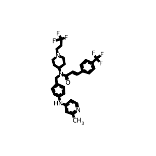 Cc1cc(Nc2ccc(CN(C(=O)/C=C/c3ccc(C(F)(F)F)cc3)C3CCN(CCC(F)(F)F)CC3)cc2)ccn1